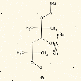 C#CCCCC.CC(CC(C)(C)OOC(C)(C)C)C(C)(C)OOC(C)(C)C